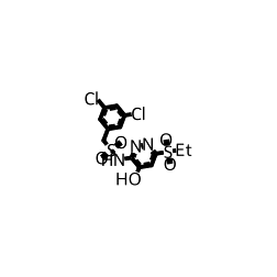 CCS(=O)(=O)c1cc(O)c(NS(=O)(=O)Cc2cc(Cl)cc(Cl)c2)nn1